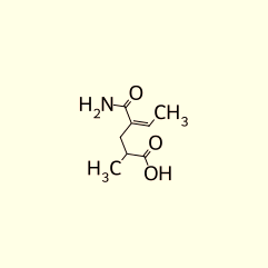 CC=C(CC(C)C(=O)O)C(N)=O